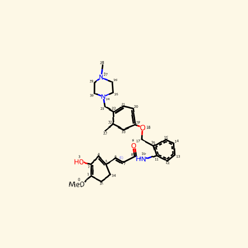 COC1=C(O)C=C(/C=C/C(=O)Nc2ccccc2COC2=CC=C(CN3CCN(C)CC3)C(C)C2)CC1